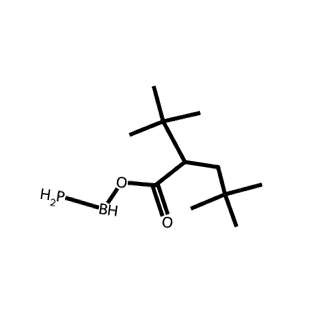 CC(C)(C)CC(C(=O)OBP)C(C)(C)C